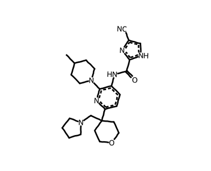 CC1CCN(c2nc(C3(CN4CCCC4)CCOCC3)ccc2NC(=O)c2nc(C#N)c[nH]2)CC1